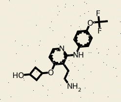 CC(F)(F)Oc1ccc(Nc2nccc(OC3CC(O)C3)c2CCN)cc1